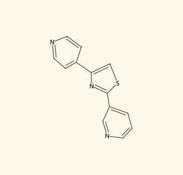 c1cncc(-c2nc(-c3ccncc3)cs2)c1